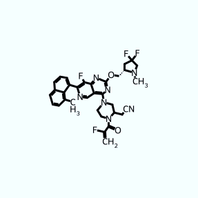 C=C(F)C(=O)N1CCN(c2nc(OC[C@@H]3CC(F)(F)CN3C)nc3c(F)c(-c4cccc5cccc(C)c45)ncc23)CC1CC#N